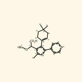 CCCCOC(C(=O)O)c1c(C)sc(-c2ccncc2)c1C1=CCC(C)(C)CC1